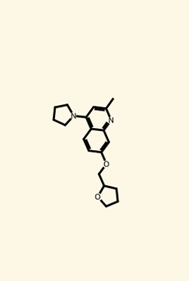 Cc1cc(N2CCCC2)c2ccc(OCC3CCCO3)cc2n1